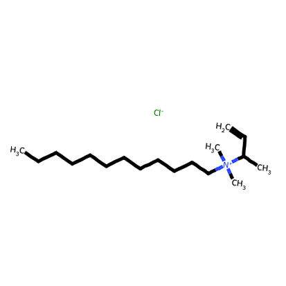 C=CC(C)[N+](C)(C)CCCCCCCCCCCC.[Cl-]